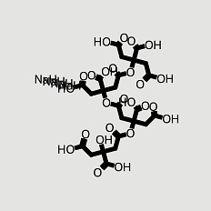 O=C(O)CC(O)(CC(=O)OC(CC(=O)O)(CC(=O)OC(CC(=O)O)(CC(=O)OC(CC(=O)O)(CC(=O)O)C(=O)O)C(=O)O)C(=O)O)C(=O)O.[NaH].[NaH].[NaH].[NaH]